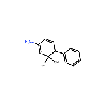 CC1(C)C=C(N)C=CC1c1ccccc1